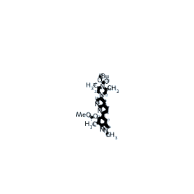 COCOc1c(-c2ccc3cc(N4C[C@@H](C)N(C(=O)OC(C)(C)C)[C@@H](C)C4)cnc3n2)cc2cn(C)nc2c1C